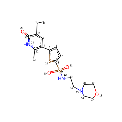 CCc1cc(-c2ccc(S(=O)(=O)NCCN3CCOCC3)s2)c(C)[nH]c1=O